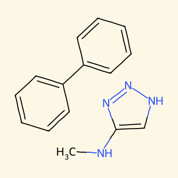 CNc1c[nH]nn1.c1ccc(-c2ccccc2)cc1